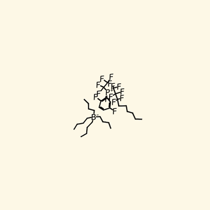 CCCCCCC(F)(F)C(F)(F)C(F)(F)[PH+](c1cc(F)ccc1F)C(F)(F)C(F)(F)F.CCCC[B-](CCCC)(CCCC)CCCC